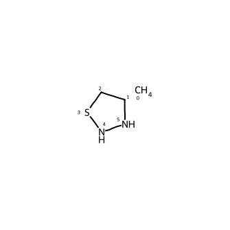 C.C1CSNN1